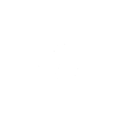 CCOP(OCC)c1ccccc1-c1c(OC)cccc1OC